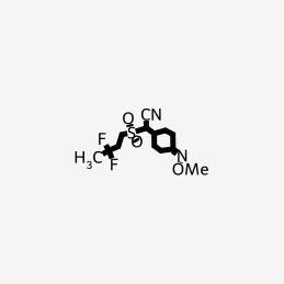 CON=C1CCC(C(C#N)S(=O)(=O)CCC(C)(F)F)CC1